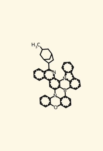 CC1CC2CC(C1)C(c1nc3c4c5c(cc3c3ccccc13)N1c3ccccc3Oc3cccc(c31)B5c1cccc3c5ccccc5n-4c13)C2